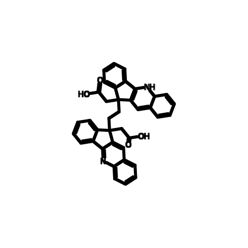 O=C(O)CC1(CCC2(CC(=O)O)c3ccccc3-c3nc4ccccc4cc32)C2=C(NC3C=CC=CC3=C2)c2ccccc21